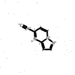 [C-]#[N+]c1ccn2nccc2n1